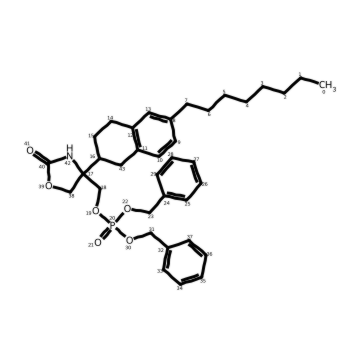 CCCCCCCCc1ccc2c(c1)CCC(C1(COP(=O)(OCc3ccccc3)OCc3ccccc3)COC(=O)N1)C2